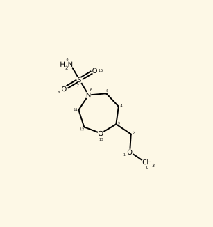 COCC1CCN(S(N)(=O)=O)CCO1